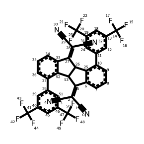 N#CC(C#N)=C1c2cccc(-c3cc(C(F)(F)F)cc(C(F)(F)F)c3)c2C2C(=C(C#N)C#N)c3cccc(-c4cc(C(F)(F)F)cc(C(F)(F)F)c4)c3C12